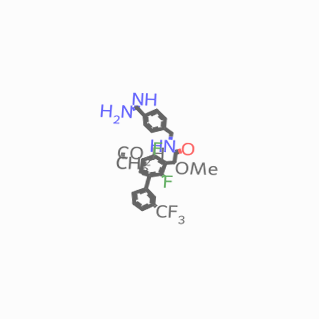 CC(=O)O.COC(C(=O)NCc1ccc(C(=N)N)cc1)c1c(F)ccc(-c2cccc(C(F)(F)F)c2)c1F